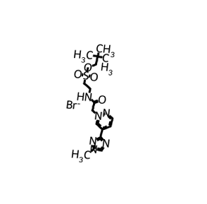 Cn1cnc(-c2ccn[n+](CC(=O)NCCS(=O)(=O)OCC(C)(C)C)c2)n1.[Br-]